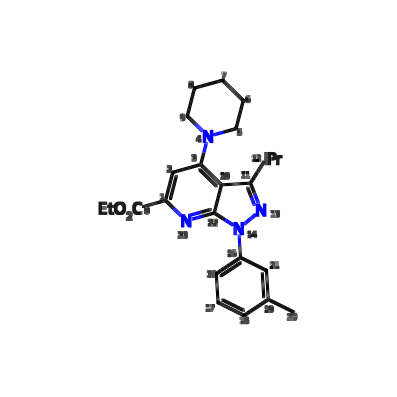 CCOC(=O)c1cc(N2CCCCC2)c2c(C(C)C)nn(-c3cccc(C)c3)c2n1